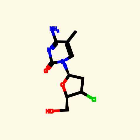 Cc1cn([C@H]2CC(Cl)[C@@H](CO)O2)c(=O)nc1N